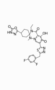 CCN1C(=O)c2c(O)c(=O)c(-c3nnc(Cc4ccc(F)cc4F)s3)cn2N(C)C12CCC(c1n[nH]c(=O)o1)CC2